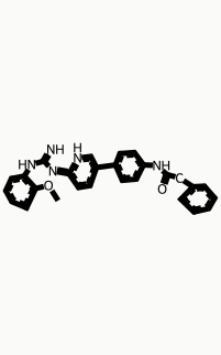 COc1ccccc1NC(=N)/N=c1/ccc(-c2ccc(NC(=O)Cc3ccccc3)cc2)c[nH]1